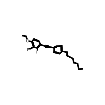 CCCCCCCc1ccc(C#Cc2ccc(OCC)c(F)c2F)cc1